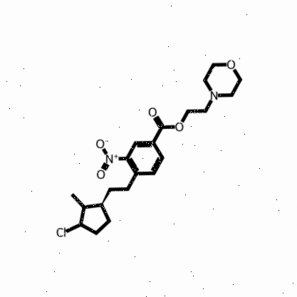 CC1C(Cl)CC[C@@H]1CCc1ccc(C(=O)OCCN2CCOCC2)cc1[N+](=O)[O-]